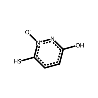 [O-][n+]1nc(O)ccc1S